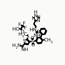 CSc1sc(C(=N)N)cc1S(=O)(=O)c1ccc(C)c(-c2ccccc2)c1NC(=O)NCCc1nn[nH]n1.O=C(O)C(F)(F)F